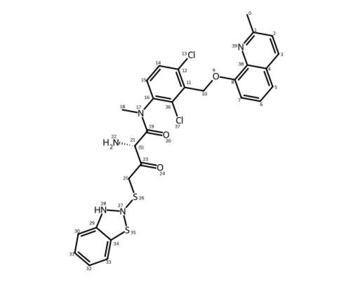 Cc1ccc2cccc(OCc3c(Cl)ccc(N(C)C(=O)[C@@H](N)C(=O)CSN4Nc5ccccc5S4)c3Cl)c2n1